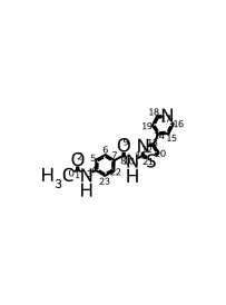 CC(=O)Nc1ccc(C(=O)Nc2nc(-c3ccncc3)cs2)cc1